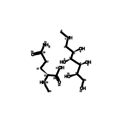 CNC[C@H](O)[C@@H](O)[C@H](O)[C@H](O)CO.CN[C@H](CCC(N)=O)C(=O)O